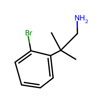 CC(C)(CN)c1ccccc1Br